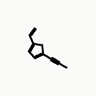 C=Cc1ccc(C#CC)s1